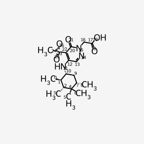 C[C@@H]1[C@@H](C)C(C)(C)[C@@H](C)C[C@H]1Nc1cnn(CC(=O)O)c(=O)c1S(C)(=O)=O